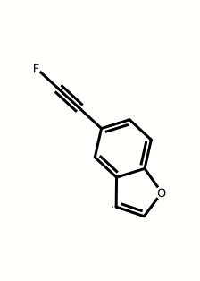 FC#Cc1ccc2oc[c]c2c1